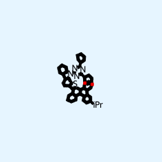 CC(C)c1ccc2c(c1)c1ccccc1c1c3sc4c(ccc5c6ccccc6n(-c6nc(-c7ccccc7)nc(-c7ccccc7)n6)c54)c3c3ccccc3c21